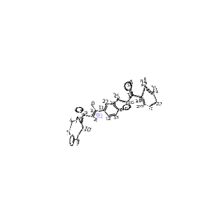 C/C(=C\C(=O)N1CCOCC1)c1ccc2oc(C(=O)c3ccccc3)cc2c1